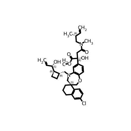 C=C[C@@H](C)CN(C)C(=O)C[C@](O)(C(=O)OC)c1ccc2c(c1)N(C[C@@H]1CC[C@H]1[C@@H](O)C=C)C[C@@]1(CCCc3cc(Cl)ccc31)CO2